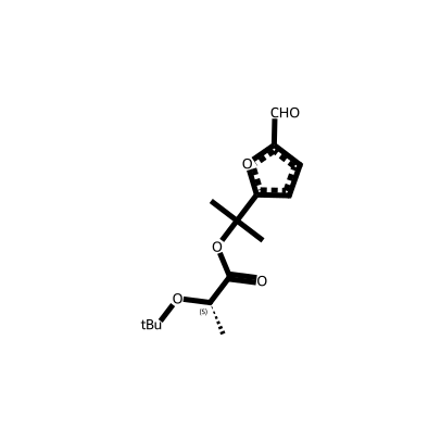 C[C@H](OC(C)(C)C)C(=O)OC(C)(C)c1ccc(C=O)o1